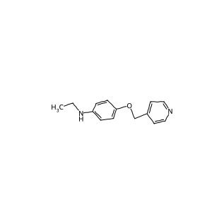 CCNc1ccc(OCc2ccncc2)cc1